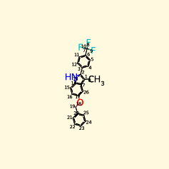 Cc1c(-c2ccc(C(F)(F)F)cc2)[nH]c2ccc(OCc3ccccc3)cc12